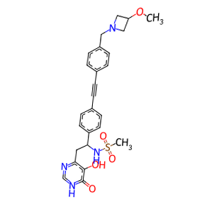 COC1CN(Cc2ccc(C#Cc3ccc(C(Cc4nc[nH]c(=O)c4O)NS(C)(=O)=O)cc3)cc2)C1